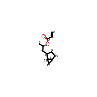 C=CC(=O)OC(C)CC1CCC2CC12